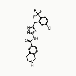 O=C(Nc1nnc(Cc2cc(Cl)ccc2C(F)(F)F)s1)c1ccc2c(c1)CCNC2